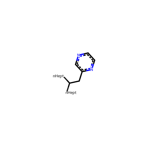 CCCCCCCC(CCCCCCC)Cc1cnccn1